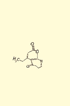 CCc1cc(=O)oc2c1C(=O)CC=N2